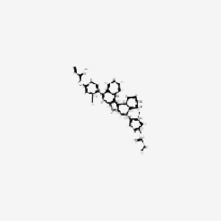 C=CC(=O)Oc1ccc(-c2cc3sc4cc(-c5ccc(OC(=O)C=C)cc5C)c5ccccc5c4c3c3ccccc23)c(C)c1